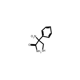 NC(=O)C(CS)(c1ccccc1)[N+](=O)[O-]